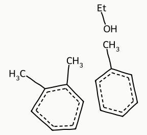 CCO.Cc1ccccc1.Cc1ccccc1C